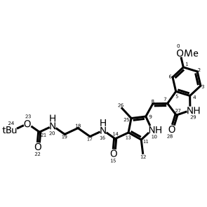 COc1ccc2c(c1)/C(=C/c1[nH]c(C)c(C(=O)NCCCNC(=O)OC(C)(C)C)c1C)C(=O)N2